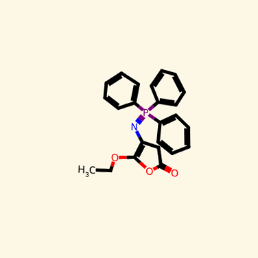 CCOC1=C(N=P(c2ccccc2)(c2ccccc2)c2ccccc2)CC(=O)O1